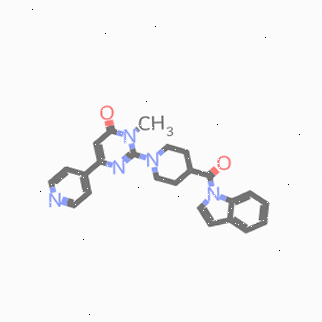 Cn1c(N2CCC(C(=O)n3ccc4ccccc43)CC2)nc(-c2ccncc2)cc1=O